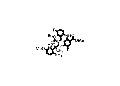 COC(=O)c1cc(F)c(C(F)(F)F)cc1Nc1ccc(F)cc1CN(CC(C)(C)c1nc(OC)ccc1N)C(=O)OC(C)(C)C